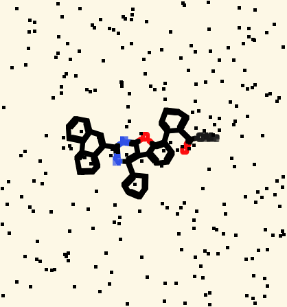 COC(=O)c1ccccc1-c1cccc2c1oc1nc(-c3cc4ccccc4c4ccccc34)nc(-c3ccccc3)c12